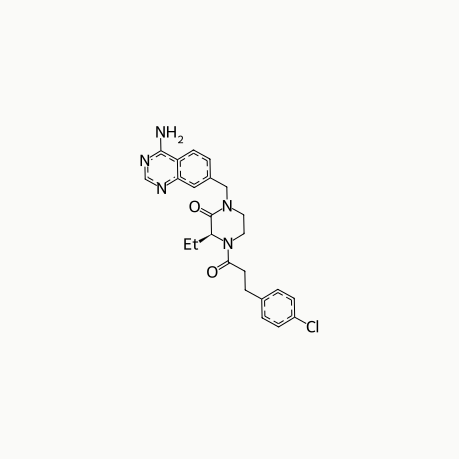 CC[C@H]1C(=O)N(Cc2ccc3c(N)ncnc3c2)CCN1C(=O)CCc1ccc(Cl)cc1